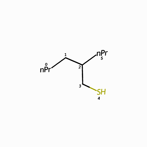 CCCCC(CS)CCC